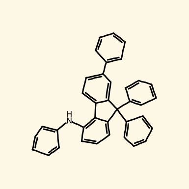 c1ccc(Nc2cccc3c2-c2ccc(-c4ccccc4)cc2C3(c2ccccc2)c2ccccc2)cc1